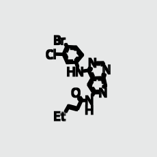 CC/C=C/C(=O)Nc1cc2c(Nc3ccc(Br)c(Cl)c3)ncnc2cn1